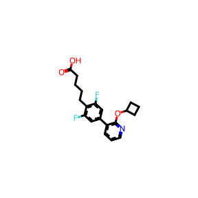 O=C(O)CCCCc1c(F)cc(-c2cccnc2OC2CCC2)cc1F